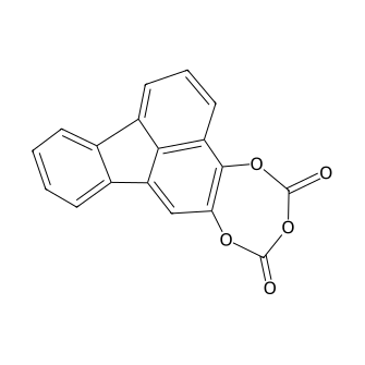 O=C1OC(=O)Oc2c(cc3c4c(cccc24)-c2ccccc2-3)O1